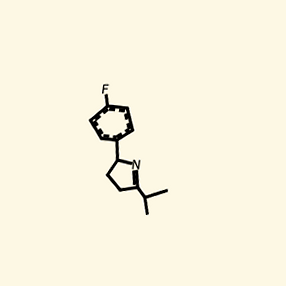 CC(C)C1=NC(c2ccc(F)cc2)CC1